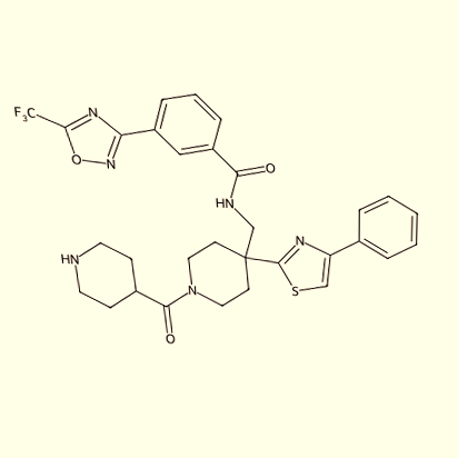 O=C(NCC1(c2nc(-c3ccccc3)cs2)CCN(C(=O)C2CCNCC2)CC1)c1cccc(-c2noc(C(F)(F)F)n2)c1